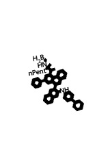 BCNC(C)(CCCCC)C(C)c1cc(-c2ccccc2)cc2c(-c3cc4ccccc4cc3Nc3ccc(C4=CC=CCC4)cc3)cc3ccccc3c12